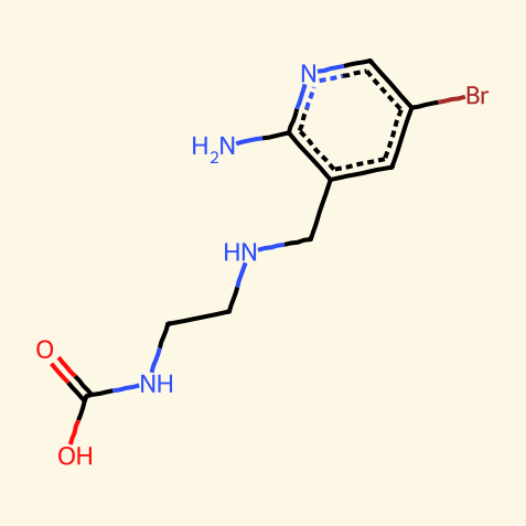 Nc1ncc(Br)cc1CNCCNC(=O)O